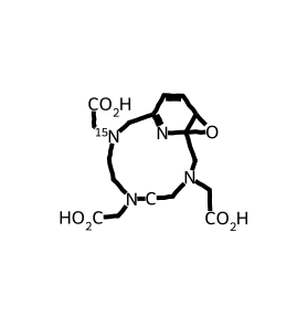 O=C(O)CN1CCN(CC(=O)O)CC23N=C(C=CC2O3)C[15N](CC(=O)O)CC1